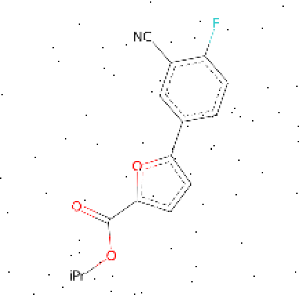 CC(C)OC(=O)c1ccc(-c2ccc(F)c(C#N)c2)o1